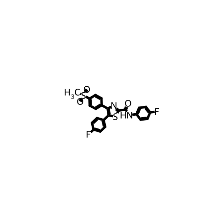 CS(=O)(=O)c1ccc(-c2nc(C(=O)Nc3ccc(F)cc3)sc2-c2ccc(F)cc2)cc1